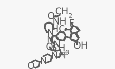 C#Cc1c(F)ccc2cc(O)cc(C3=Cc4nc(OC[C@]5(C)C[C@@H](F)CN5C5CCN(C6CCOCC6)CC5)nc(N5CCCCC(NC(=O)C=C)C5)c4CC3)c12